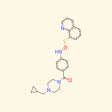 O=C(c1ccc(NOSc2cccc3cccnc23)cc1)N1CCN(CC2CC2)CC1